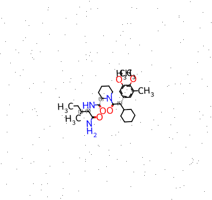 CC[C@H](C)[C@H](NC(=O)[C@@H]1CCCCN1C(=O)[C@H](c1cc(C)c(OC)c(OC)c1)C1CCCCC1)C(N)=O